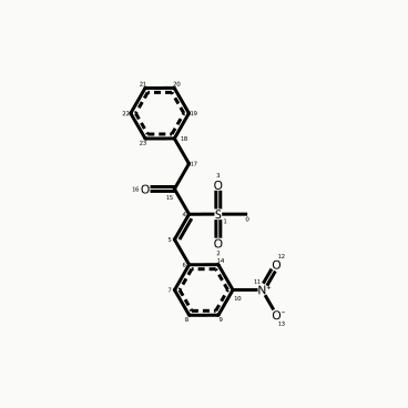 CS(=O)(=O)C(=Cc1cccc([N+](=O)[O-])c1)C(=O)Cc1ccccc1